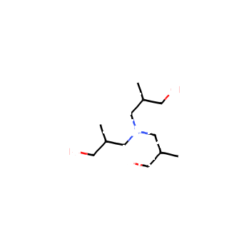 CC(CO)CN(CC(C)CO)CC(C)CO